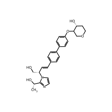 C[C@H](O)c1nccn1[C@@H](/C=C/c1ccc(-c2ccc(OC3COCC[C@H]3O)cc2)cc1)CO